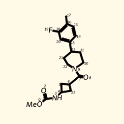 COC(=O)NC1CC(C(=O)N2CCC(c3ccc(C)c(F)c3)CC2)C1